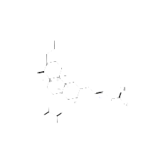 CCC[C@@]1(C)CC[C@H]2[C@@H](CC[C@@H]3C[C@@H](O)C(C/C=N/NC(=N)N)C[C@@]32C)C1=O.O=C(O)C(=O)O